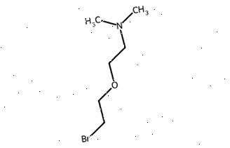 CN(C)CCOCCBr